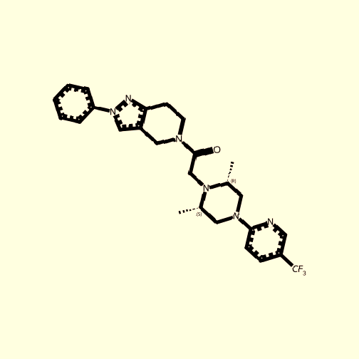 C[C@@H]1CN(c2ccc(C(F)(F)F)cn2)C[C@H](C)N1CC(=O)N1CCc2nn(-c3ccccc3)cc2C1